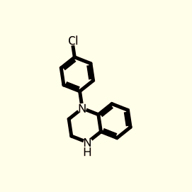 Clc1ccc(N2CCNc3ccccc32)cc1